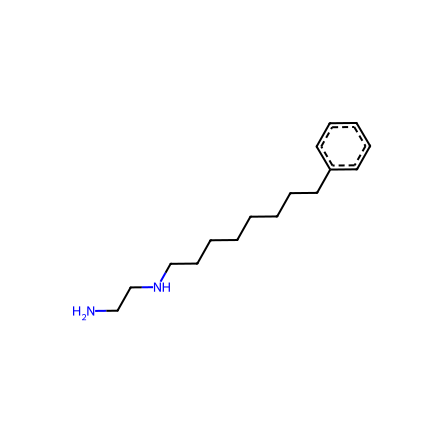 NCCNCCCCCCCCc1ccccc1